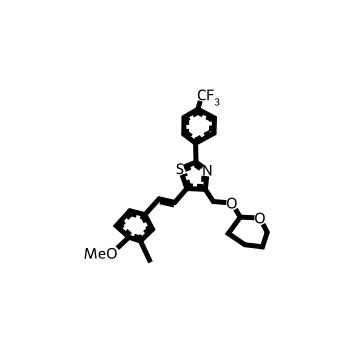 COc1ccc(/C=C/c2sc(-c3ccc(C(F)(F)F)cc3)nc2COC2CCCCO2)cc1C